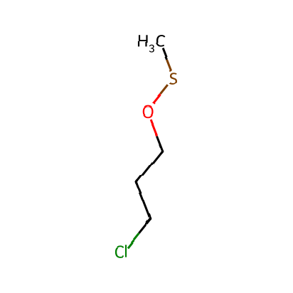 CSOCCCCl